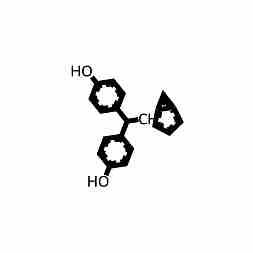 CC(c1ccc(O)cc1)c1ccc(O)cc1.c1cc2cc-2c1